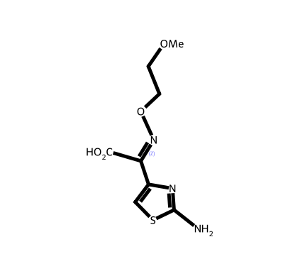 COCCO/N=C(\C(=O)O)c1csc(N)n1